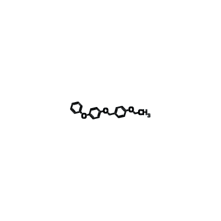 CCOc1ccc(COc2ccc(Oc3ccccc3)cc2)cc1